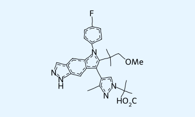 COCC(C)(C)c1c(-c2cn(C(C)(C)C(=O)O)nc2C)c2cc3[nH]ncc3cc2n1-c1ccc(F)cc1